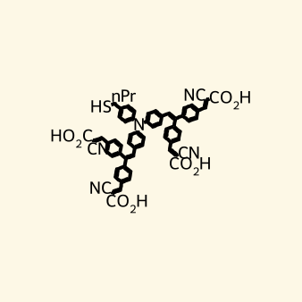 CCCC(S)c1ccc(N(c2ccc(C=C(c3ccc(/C=C(\C#N)C(=O)O)cc3)c3ccc(/C=C(\C#N)C(=O)O)cc3)cc2)c2ccc(C=C(c3ccc(/C=C(\C#N)C(=O)O)cc3)c3ccc(/C=C(\C#N)C(=O)O)cc3)cc2)cc1